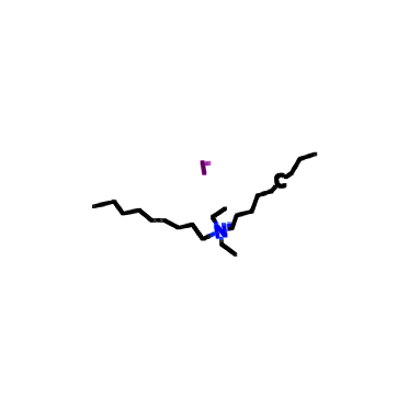 CCCCCCCCC[N+](CC)(CC)CCCCCCCCC.[I-]